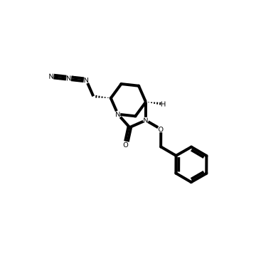 [N-]=[N+]=NC[C@@H]1CC[C@@H]2CN1C(=O)N2OCc1ccccc1